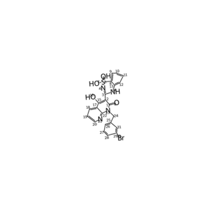 O=c1c(C2=NS(O)(O)c3ccccc3N2)c(O)c2cccnc2n1Cc1cccc(Br)c1